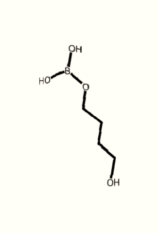 OCCCCOB(O)O